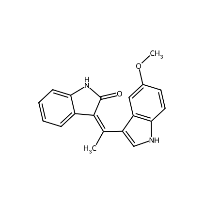 COc1ccc2[nH]cc(C(C)=C3C(=O)Nc4ccccc43)c2c1